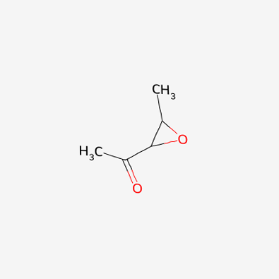 CC(=O)C1OC1C